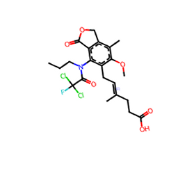 CCCN(C(=O)C(F)(Cl)Cl)c1c(C/C=C(\C)CCC(=O)O)c(OC)c(C)c2c1C(=O)OC2